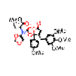 COC(=O)C(CC(C)C)N(C(=O)OC1(c2ccc(OC)cc2)OC(=O)C=C1Cc1cc(OC)c(OC)c(OC)c1)C1=COCO1